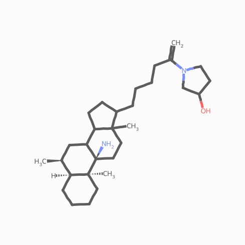 C=C(CCCCC1CCC2C3C[C@H](C)[C@@H]4CCCC[C@]4(C)[C@@]3(N)CCC12C)N1CCC(O)C1